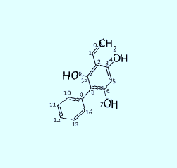 C=Cc1c(O)cc(O)c(-c2ccccc2)c1O